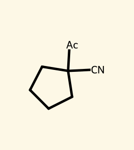 CC(=O)C1(C#N)CCCC1